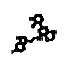 O=c1[nH]cccc1-c1nc2c(c(NCCc3c[nH]c4cc(F)ccc34)n1)OCCN2